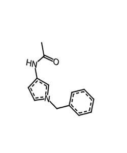 CC(=O)Nc1ccn(Cc2ccccc2)c1